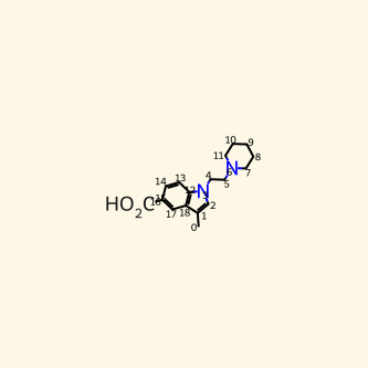 Cc1cn(CCN2CCCCC2)c2ccc(C(=O)O)cc12